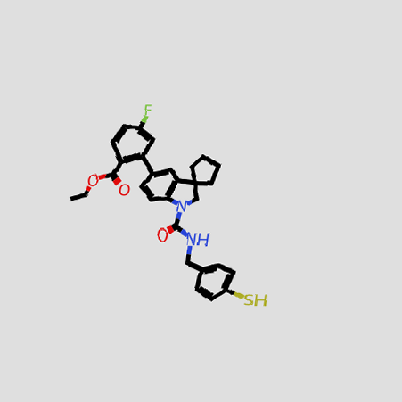 CCOC(=O)c1ccc(F)cc1-c1ccc2c(c1)C1(CCCC1)CN2C(=O)NCc1ccc(S)cc1